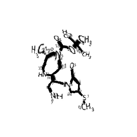 CSC1CC(=O)N(/C(C=N)=C2\CN(C(=O)OC(C)(C)C)[C@@H](C)CN2)C1